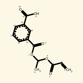 C=CC(=O)OC(C)OC(=O)c1cccc(C(=O)O)c1